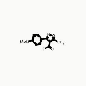 COc1ccc(-c2noc(C)c2C(=O)Cl)cc1